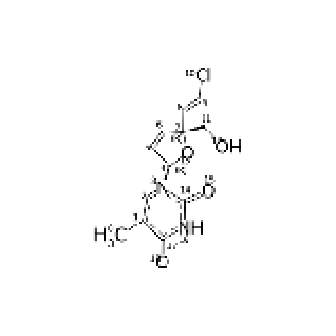 Cc1cn([C@H]2C=C[C@@](C=CCl)(CO)O2)c(=O)[nH]c1=O